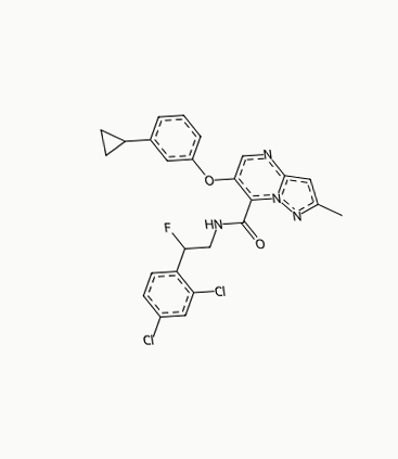 Cc1cc2ncc(Oc3cccc(C4CC4)c3)c(C(=O)NCC(F)c3ccc(Cl)cc3Cl)n2n1